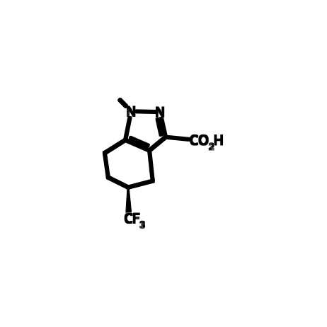 Cn1nc(C(=O)O)c2c1CC[C@H](C(F)(F)F)C2